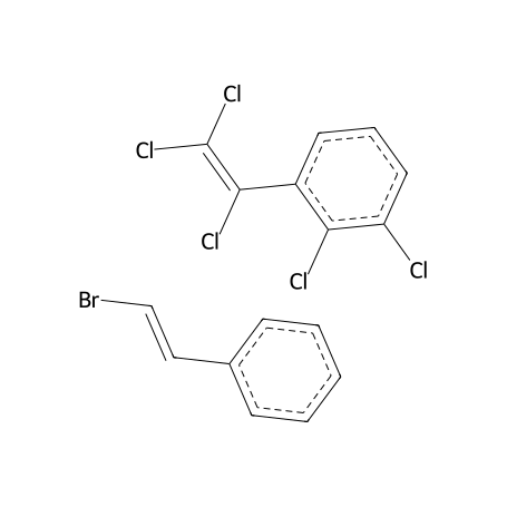 BrC=Cc1ccccc1.ClC(Cl)=C(Cl)c1cccc(Cl)c1Cl